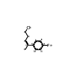 C/C(=C/CCCl)c1ccc(F)cc1